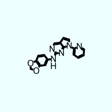 c1ccc(-n2ccc3cnc(Nc4ccc5c(c4)OCO5)nc32)nc1